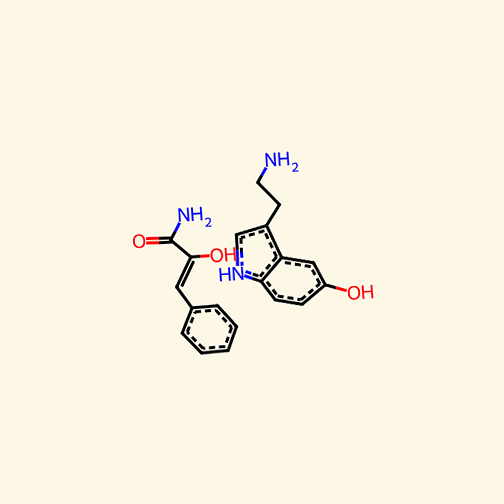 NC(=O)C(O)=Cc1ccccc1.NCCc1c[nH]c2ccc(O)cc12